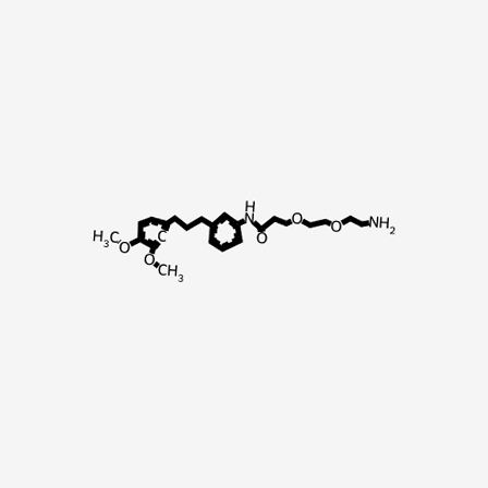 COc1ccc(CCCc2cccc(NC(=O)CCOCCOCCN)c2)cc1OC